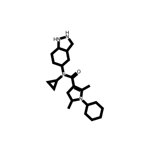 CC1=C(C(=O)N(C2CC2)C2CCC3NNCC3C2)CC(C)N1C1CCCCC1